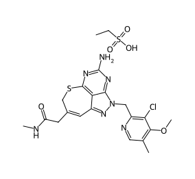 CCS(=O)(=O)O.CNC(=O)CC1=Cc2nn(Cc3ncc(C)c(OC)c3Cl)c3nc(N)nc(c23)SC1